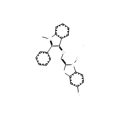 CCN1/C(=C\N=C2/C(c3ccccc3)=[N+](C)c3ccccc32)Sc2cc([N+](=O)[O-])ccc21.[I-]